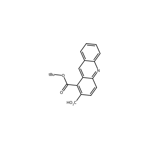 CC(C)(C)OC(=O)c1c(C(=O)O)ccc2nc3ccccc3cc12